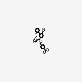 COC(=O)c1ccc(COC(c2ccc(C#N)c(-c3ccccc3C)c2)c2cncn2C)cc1